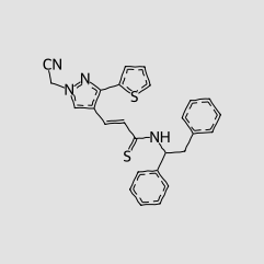 N#CCn1cc(C=CC(=S)NC(Cc2ccccc2)c2ccccc2)c(-c2cccs2)n1